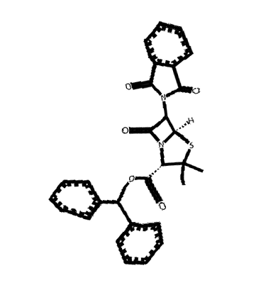 CC1(C)S[C@@H]2C(N3C(=O)c4ccccc4C3=O)C(=O)N2[C@H]1C(=O)OC(c1ccccc1)c1ccccc1